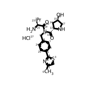 Cc1csc(-c2ccc(CN(C(=O)[C@@H]3C[C@@H](O)CN3)C(=O)[C@@H](N)C(C)C)cc2)n1.Cl